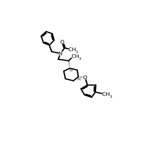 CC(=O)N(Cc1ccccc1)CC(C)[C@H]1CCC[C@@H](Oc2cccc(C)c2)C1